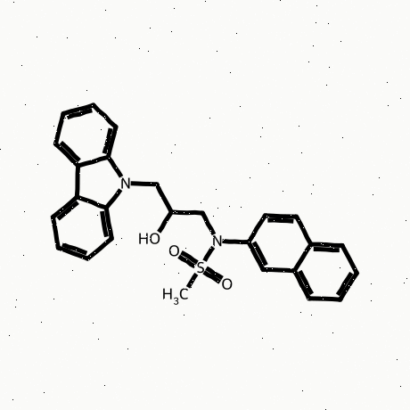 CS(=O)(=O)N(CC(O)Cn1c2ccccc2c2ccccc21)c1ccc2ccccc2c1